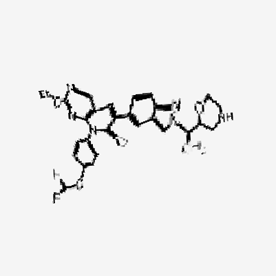 CCOc1ncc2cc(-c3ccc4nn(C(C)C5CNCCO5)cc4c3)c(=O)n(-c3ccc(OC(F)F)cc3)c2n1